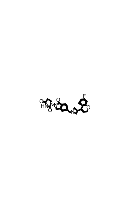 O=C1CCN(N2Cc3cc(CN4CC(C5=CCOc6cc(F)ccc65)C4)ccc3C2=O)C(=O)N1